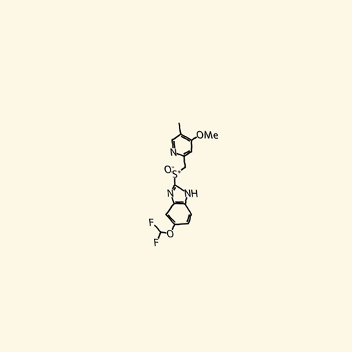 COc1cc(C[S+]([O-])c2nc3cc(OC(F)F)ccc3[nH]2)ncc1C